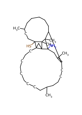 CC1=C2CCCCC(C)CCCCCCCCCC34CC35C(N)(C1)C1(C)C2CCCCCC(C)CCC4(S)C15C